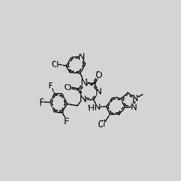 Cn1cc2cc(Nc3nc(=O)n(-c4cncc(Cl)c4)c(=O)n3Cc3cc(F)c(F)cc3F)c(Cl)cc2n1